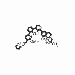 COc1cc(-c2nccc(-c3cccc(-c4ccc(CNC[C@@H]5CCCO5)c(OC)n4)c3Cl)c2Cl)cc2c1CN(CC(C)O)CC2